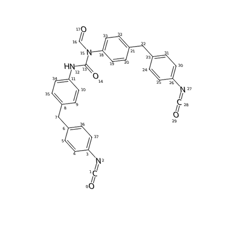 O=C=Nc1ccc(Cc2ccc(NC(=O)N(C=O)c3ccc(Cc4ccc(N=C=O)cc4)cc3)cc2)cc1